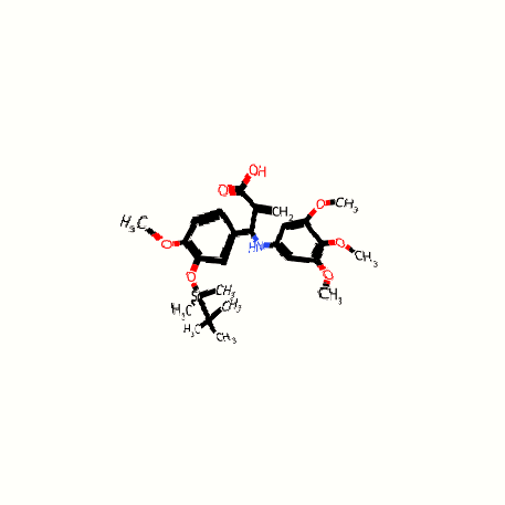 C=C(C(=O)O)C(Nc1cc(OC)c(OC)c(OC)c1)c1ccc(OC)c(O[Si](C)(C)C(C)(C)C)c1